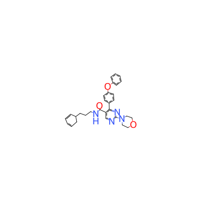 O=C(NCCCC1C=CC=CC1)c1cnc(N2CCOCC2)nc1-c1ccc(Oc2ccccc2)cc1